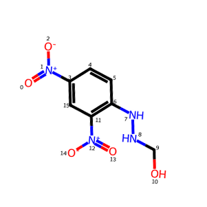 O=[N+]([O-])c1ccc(NNCO)c([N+](=O)[O-])c1